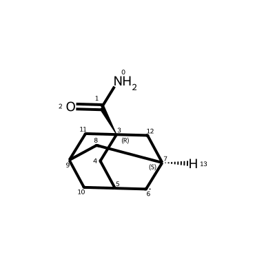 NC(=O)[C@@]12CC3[CH][C@@H](CC(C3)C1)C2